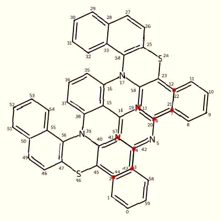 c1ccc(-c2nc(-c3ccccc3)nc(-c3c(N4c5ccccc5Sc5ccc6ccccc6c54)cccc3N3c4ccccc4Sc4ccc5ccccc5c43)n2)cc1